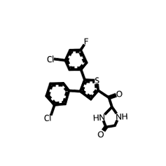 O=C1CNC(C(=O)c2cc(-c3cccc(Cl)c3)c(-c3cc(F)cc(Cl)c3)s2)N1